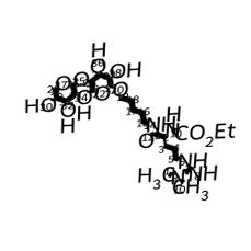 CCOC(=O)N[C@@H](CCCNC(=N)N(C)C)C(=O)NCCCCCO[C@@H]1OC[C@@H](O[C@@H]2OC[C@@H](O)C(O)C2O)C(O)C1O